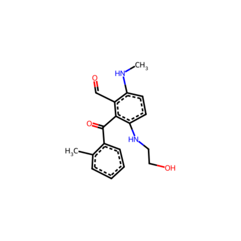 CNc1ccc(NCCO)c(C(=O)c2ccccc2C)c1C=O